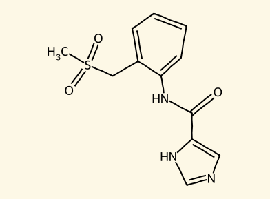 CS(=O)(=O)Cc1ccccc1NC(=O)c1cnc[nH]1